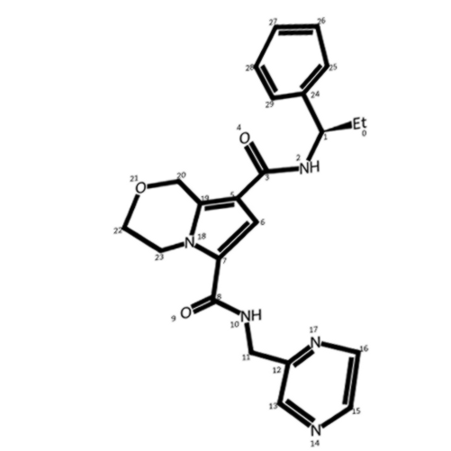 CC[C@@H](NC(=O)c1cc(C(=O)NCc2cnccn2)n2c1COCC2)c1ccccc1